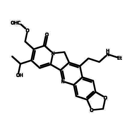 CCNCCc1c2c(nc3cc4c(cc13)OCO4)-c1cc(C(C)O)c(COC=O)c(=O)n1C2